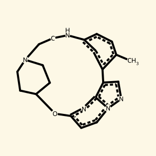 Cc1ccc2cc1-c1cnn3ccc(nc13)OC1CCN(CCN2)CC1